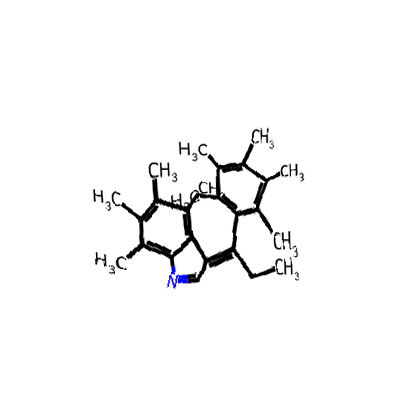 CC/C(=C1\C=Nc2c(C)c(C)c(C)c(C)c21)c1c(C)c(C)c(C)c(C)c1C